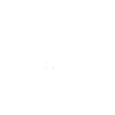 C=CCOC(=O)C(N)(CS)C(C)=O